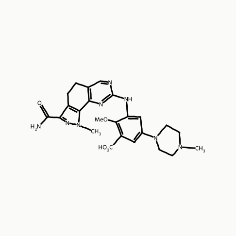 COc1c(Nc2ncc3c(n2)-c2c(c(C(N)=O)nn2C)CC3)cc(N2CCN(C)CC2)cc1C(=O)O